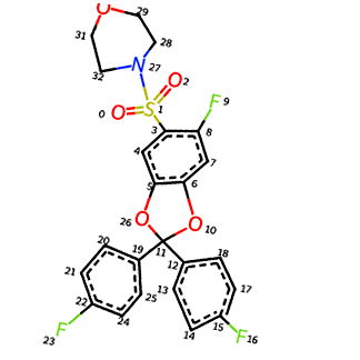 O=S(=O)(c1cc2c(cc1F)OC(c1ccc(F)cc1)(c1ccc(F)cc1)O2)N1CCOCC1